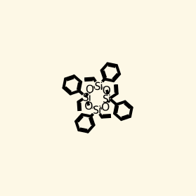 C=C[Si]1(c2ccccc2)O[Si](C=C)(c2ccccc2)O[Si](C=C)(c2ccccc2)O[Si](C=C)(c2ccccc2)O1